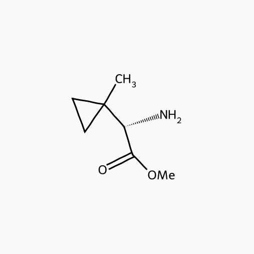 COC(=O)[C@@H](N)C1(C)CC1